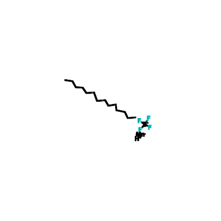 CCCCCCCCCCCCCC.F[B-](F)(F)F.[H+].[Mn]